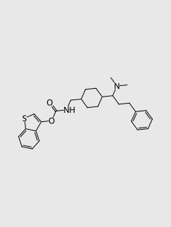 CN(C)C(CCc1ccccc1)C1CCC(CNC(=O)Oc2csc3ccccc23)CC1